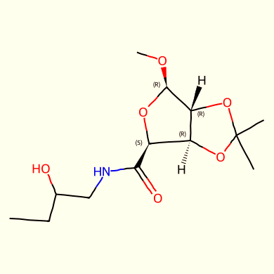 CCC(O)CNC(=O)[C@H]1O[C@@H](OC)[C@@H]2OC(C)(C)O[C@H]21